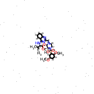 COC(=O)[C@@H](Nc1nc(CN2CCN(S(=O)(=O)c3cc(OC)ccc3OC)CC2)nc2ccccc12)C(C)C